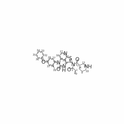 C=CC(=O)N(C(=O)C1CCCNC1)c1sc2nccc3c2c1NC(=O)N3c1ccc(Oc2ccccc2)cc1C